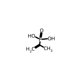 C=C(C)P(=O)(O)O